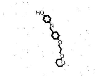 Oc1ccc(N=Cc2ccc(OCCCOC3CCCCO3)cc2)cc1